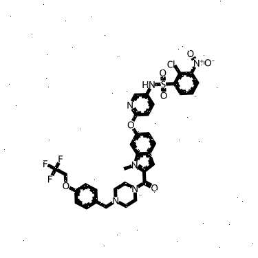 Cn1c(C(=O)N2CCN(Cc3ccc(OCC(F)(F)F)cc3)CC2)cc2ccc(Oc3ccc(NS(=O)(=O)c4cccc([N+](=O)[O-])c4Cl)cn3)cc21